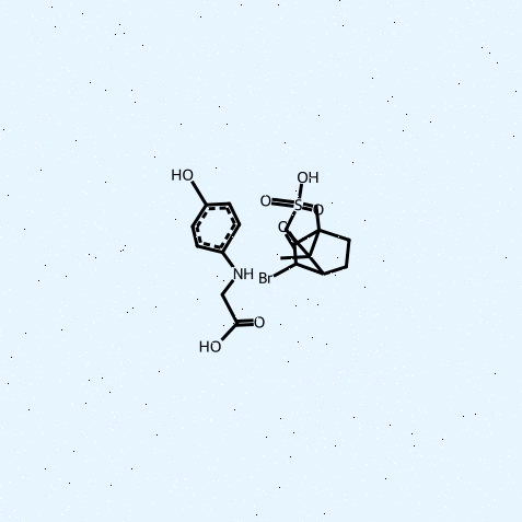 CC12CCC(C(Br)C1=O)C2(C)CS(=O)(=O)O.O=C(O)CNc1ccc(O)cc1